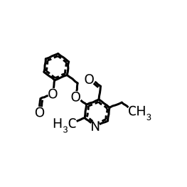 CCc1cnc(C)c(OCc2ccccc2OC=O)c1C=O